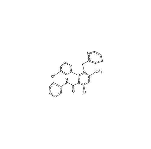 Cc1cc(=O)c(C(=O)Nc2ccccc2)c(-c2cccc(Cl)c2)n1Cc1ccccn1